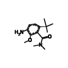 COc1c(N)ccc(C(C)(C)C)c1C(=O)N(C)C